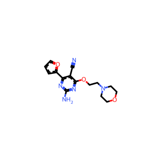 N#Cc1c(OCCN2CCOCC2)nc(N)nc1-c1ccco1